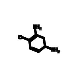 N[C]1C=CC(Cl)=C(N)C1